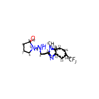 Cn1c(CNN2CCCC2=O)nc2cc(C(F)(F)F)ccc21